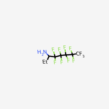 CCC(N)C(F)(F)C(F)(F)C(F)(F)C(F)(F)C(F)(F)F